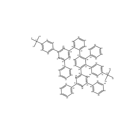 CC(C)(C)c1ccc(-c2nc(-c3ccccc3)nc(-c3ccccc3-c3ccc(-c4nc(-c5ccccc5)nc(-c5ccccc5)n4)c(-c4ccc(C(C)(C)C)cc4)c3-c3ccccc3)n2)cc1